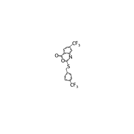 O=c1oc(SCc2ccc(C(F)(F)F)cc2)nc2cc(C(F)(F)F)ccc12